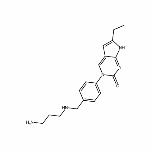 CCc1cc2cn(-c3ccc(CNCCCN)cc3)c(=O)nc2[nH]1